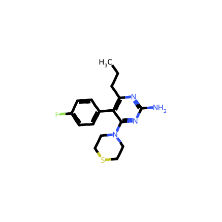 CCCc1nc(N)nc(N2CCSCC2)c1-c1ccc(F)cc1